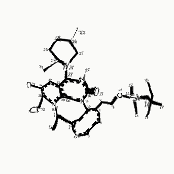 CC(C)c1nccc(CCO[Si](C)(C)C(C)(C)C)c1-n1c(=O)nc(N2C[C@@H](C)CC[C@@H]2C)c2cc(Cl)c(Cl)nc21